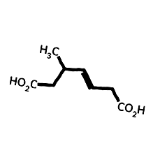 CC(/C=C/CC(=O)O)CC(=O)O